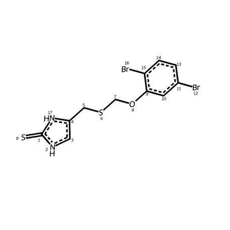 S=c1[nH]cc(CSCOc2cc(Br)ccc2Br)[nH]1